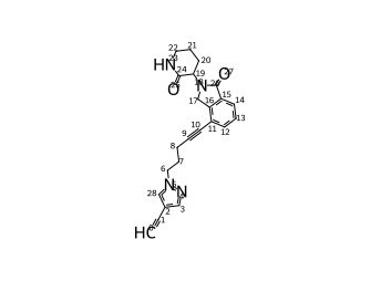 C#Cc1cnn(CCCC#Cc2cccc3c2CN(C2CCCNC2=O)C3=O)c1